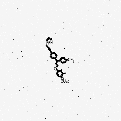 CC(=O)OOc1ccc(OCC=C(c2ccc(C#CCn3cccn3)cc2)c2ccc(C(F)(F)F)cc2)cc1C